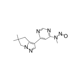 CN(N=O)c1cc(-c2cnn3c2CC(C)(C)C3)ncn1